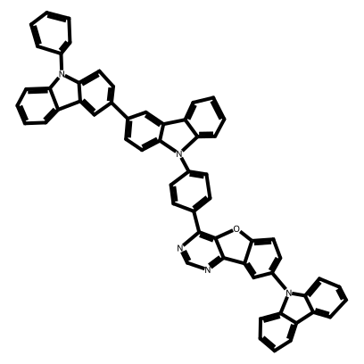 c1ccc(-n2c3ccccc3c3cc(-c4ccc5c(c4)c4ccccc4n5-c4ccc(-c5ncnc6c5oc5ccc(-n7c8ccccc8c8ccccc87)cc56)cc4)ccc32)cc1